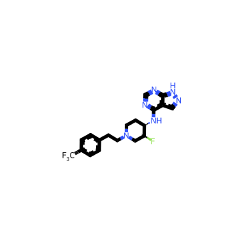 F[C@H]1CN(CCc2ccc(C(F)(F)F)cc2)CC[C@@H]1Nc1ncnc2[nH]ncc12